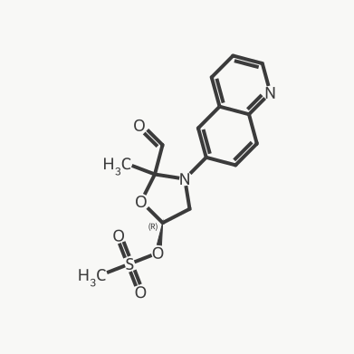 CC1(C=O)O[C@H](OS(C)(=O)=O)CN1c1ccc2ncccc2c1